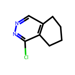 Clc1nncc2c1CCCC2